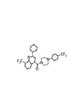 O=C(c1cc(-c2ccccc2)nc2c(C(F)(F)F)cccc12)N1CCN(c2ccc(C(F)(F)F)cc2)CC1